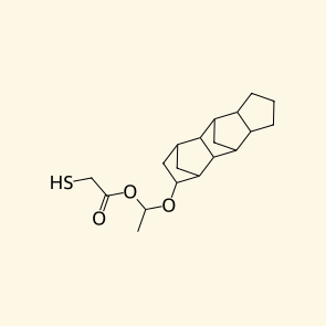 CC(OC(=O)CS)OC1CC2CC1C1C3CC(C4CCCC43)C21